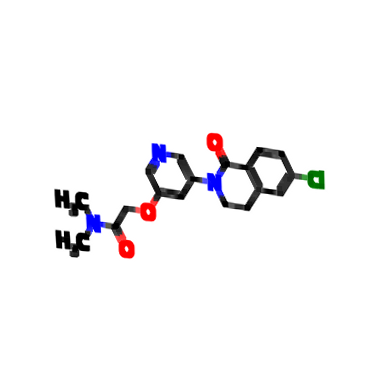 CN(C)C(=O)COc1cncc(N2CCc3cc(Cl)ccc3C2=O)c1